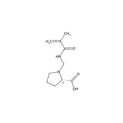 C=C(C)C(=O)NCN1CCC[C@H]1C(=O)O